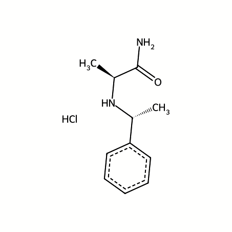 C[C@H](N[C@H](C)c1ccccc1)C(N)=O.Cl